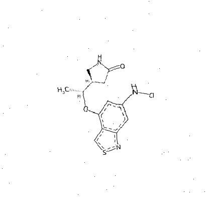 C[C@@H](Oc1cc(NCl)cc2nscc12)[C@H]1CNC(=O)C1